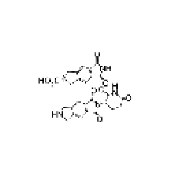 O=C1CCC(N2C(=O)c3cc4c(cc3C2=O)CNC4)C(=O)N1.O=C1NC(=O)c2cc3c(cc21)CN(C(=O)O)C3